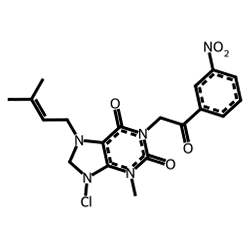 CC(C)=CCN1CN(Cl)c2c1c(=O)n(CC(=O)c1cccc([N+](=O)[O-])c1)c(=O)n2C